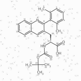 Cc1cccc(C)c1-c1nc2ccccc2cc1C[C@H](NC(=O)OC(C)(C)C)C(=O)O